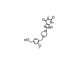 COc1cc(CO)ccc1CN1CCN(c2nc3c(=O)n(C)c(=O)n(C)c3[nH]2)CC1